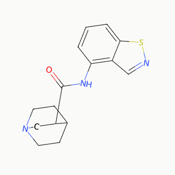 O=C(Nc1cccc2sncc12)C1CN2CCC1CC2